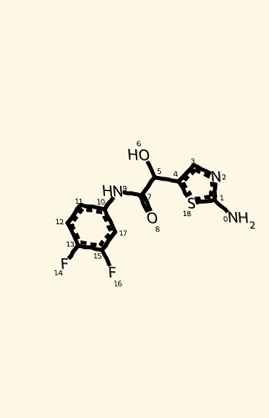 Nc1ncc(C(O)C(=O)Nc2ccc(F)c(F)c2)s1